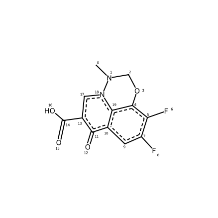 CN1COc2c(F)c(F)cc3c(=O)c(C(=O)O)cn1c23